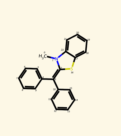 CN1C(=C(c2ccccc2)c2ccccc2)Sc2ccccc21